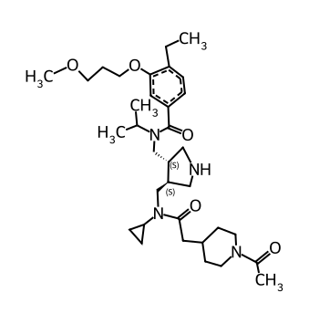 CCc1ccc(C(=O)N(C[C@@H]2CNC[C@H]2CN(C(=O)CC2CCN(C(C)=O)CC2)C2CC2)C(C)C)cc1OCCCOC